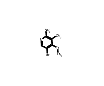 COc1c(Br)cnc(N)c1C